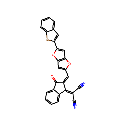 N#CC(C#N)=C1/C(=C/c2cc3oc(-c4cc5ccccc5s4)cc3o2)C(=O)c2ccccc21